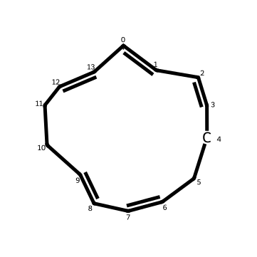 [C]1=C/C=C\CC/C=C\C=C\CC/C=C/1